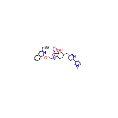 CCCCc1cc2ccccc2c(OCC[N+](C)(C)[C@H]2CCC(Cc3ccc(-c4cnn(C)c4)nc3)C[C@@]2(O)C(N)=O)n1